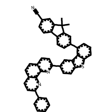 CC1(C)c2cc(C#N)ccc2-c2ccc(-c3cccc4sc5ccc(-c6ccc7ccc8ccc(-c9ccccc9)nc8c7n6)cc5c34)cc21